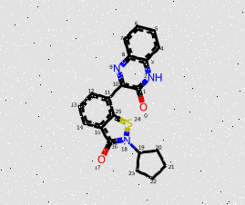 O=c1[nH]c2ccccc2nc1-c1cccc2c(=O)n(C3CCCC3)sc12